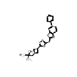 CC(C)(C)CN1CC(c2nnc(Cc3nc4ccc(-c5ccccc5)cc4s3)o2)C1